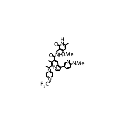 CNc1ccc(-c2ccn3c(C(C)N4CCN(CC(F)(F)F)CC4)c(C)c(C(=O)NCc4c(OC)cc(C)[nH]c4=O)cc23)cn1